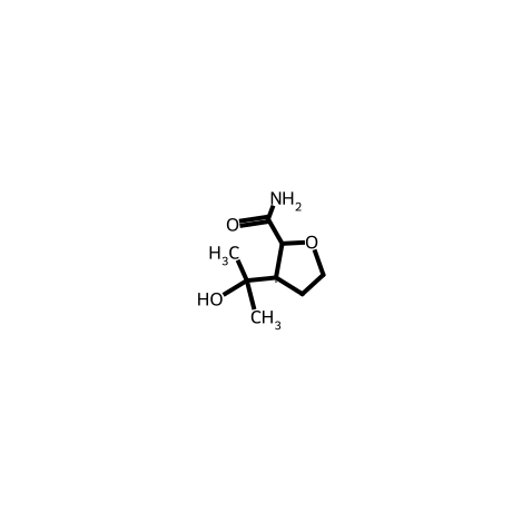 CC(C)(O)[C]1CCOC1C(N)=O